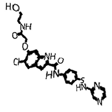 O=C(COc1cc2[nH]c(C(=O)Nc3ccc(SNc4cnccn4)cc3)cc2cc1Cl)NCCO